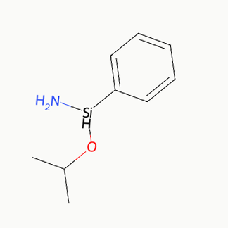 CC(C)O[SiH](N)c1ccccc1